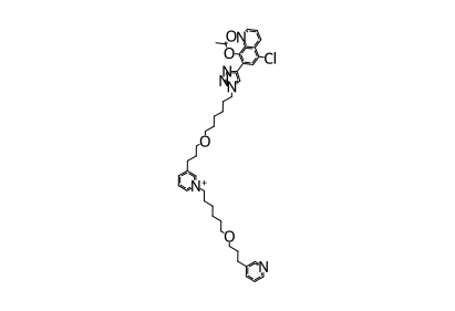 CC(=O)Oc1c(-c2cn(CCCCCCOCCCc3ccc[n+](CCCCCCOCCCc4cccnc4)c3)nn2)cc(Cl)c2cccnc12